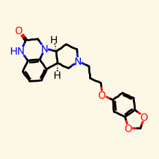 O=C1CN2c3c(cccc3[C@@H]3CN(CCCOc4ccc5c(c4)OCO5)CC[C@@H]32)N1